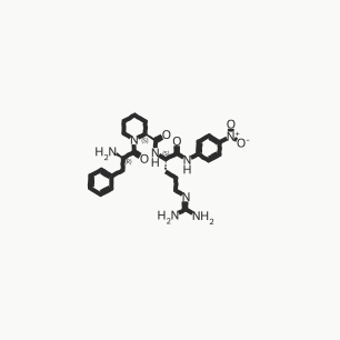 NC(N)=NCCC[C@H](NC(=O)[C@@H]1CCCCN1C(=O)[C@H](N)Cc1ccccc1)C(=O)Nc1ccc([N+](=O)[O-])cc1